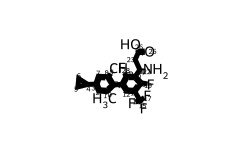 Cc1cc(C2CC2)cc(C)c1-c1cc(C(F)(F)F)c(F)c([C@@H](N)CC(=O)O)c1F